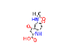 CC(=O)Nc1cc2c(=O)cc(C(=O)O)[nH]c2ccc1=O